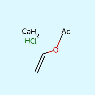 C=COC(C)=O.Cl.[CaH2]